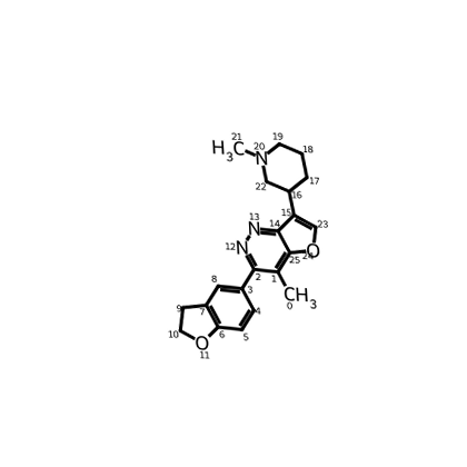 Cc1c(-c2ccc3c(c2)CCO3)nnc2c(C3CCCN(C)C3)coc12